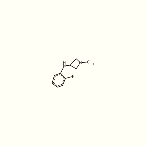 CN1CC(Nc2ccccc2F)C1